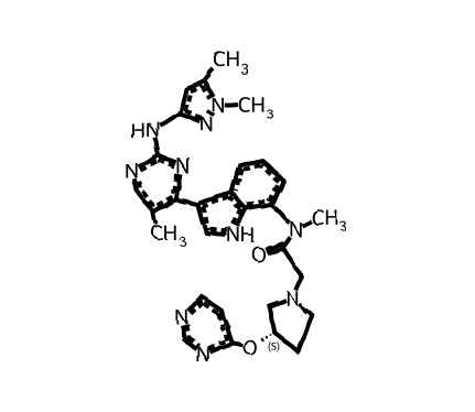 Cc1cnc(Nc2cc(C)n(C)n2)nc1-c1c[nH]c2c(N(C)C(=O)CN3CC[C@H](Oc4ccncn4)C3)cccc12